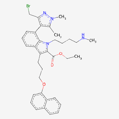 CCOC(=O)c1c(CCCOc2cccc3ccccc23)c2cccc(-c3c(CBr)nn(C)c3C)c2n1CCCCNC